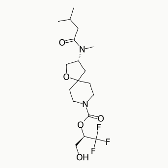 CC(C)CC(=O)N(C)[C@H]1COC2(CCN(C(=O)O[C@H](CO)C(F)(F)F)CC2)C1